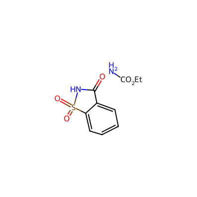 CCOC(N)=O.O=C1NS(=O)(=O)c2ccccc21